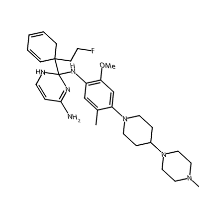 COc1cc(N2CCC(N3CCN(C)CC3)CC2)c(C)cc1NC1(C2(CCF)C=CC=CC2)N=C(N)C=CN1